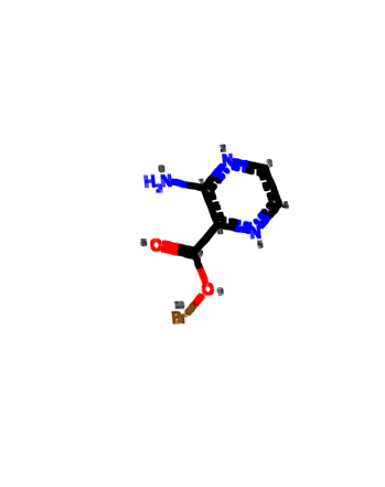 Nc1nccnc1C(=O)OBr